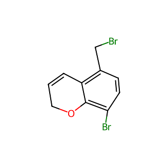 BrCc1ccc(Br)c2c1C=CCO2